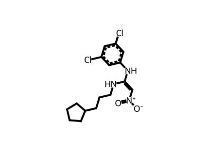 O=[N+]([O-])C=C(NCCCC1CCCC1)Nc1cc(Cl)cc(Cl)c1